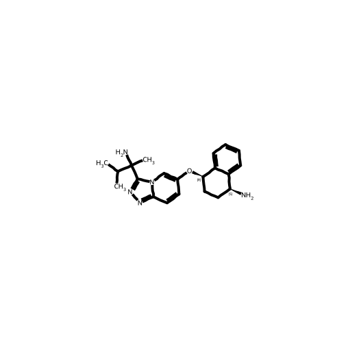 CC(C)C(C)(N)c1nnc2ccc(O[C@@H]3CC[C@H](N)c4ccccc43)cn12